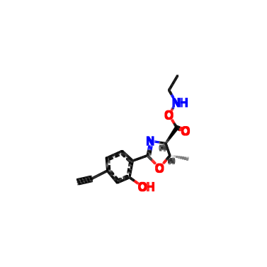 C#Cc1ccc(C2=N[C@@H](C(=O)ONCC)[C@H](C)O2)c(O)c1